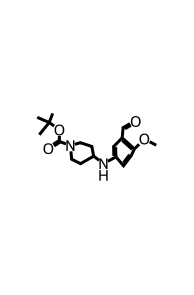 COc1ccc(NC2CCN(C(=O)OC(C)(C)C)CC2)cc1C=O